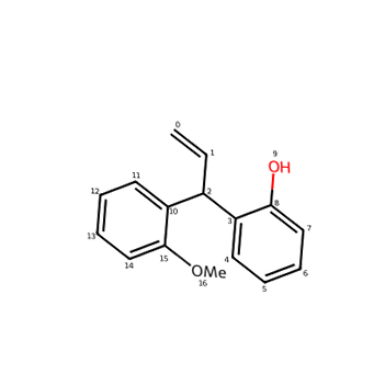 C=CC(c1ccccc1O)c1ccccc1OC